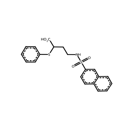 O=C(O)C(CCNS(=O)(=O)c1ccc2ccccc2c1)Sc1ccccc1